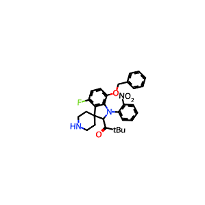 CC(C)(C)C(=O)C1N(c2ccccc2[N+](=O)[O-])c2c(OCc3ccccc3)ccc(F)c2C12CCNCC2